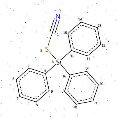 N#CS[Si](c1ccccc1)(c1ccccc1)c1ccccc1